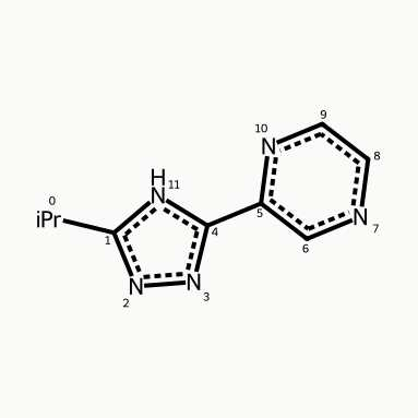 CC(C)c1nnc(-c2cnccn2)[nH]1